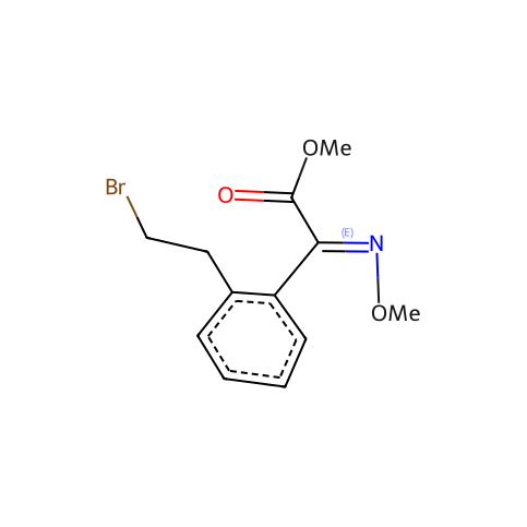 CO/N=C(/C(=O)OC)c1ccccc1CCBr